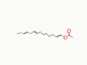 CCC=CCC=CCCCCCC=COC(C)=O